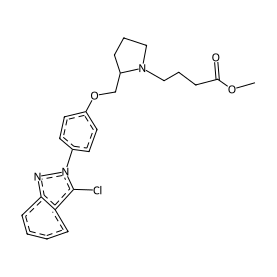 COC(=O)CCCN1CCCC1COc1ccc(-n2nc3ccccc3c2Cl)cc1